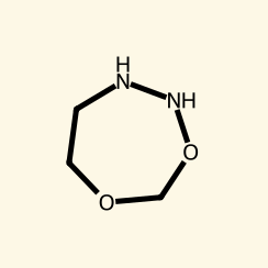 C1COCONN1